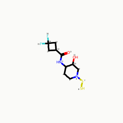 O=C(NC1CCN(SS)CC1O)C1CC(F)(F)C1